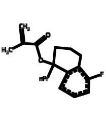 C=C(C)C(=O)OC1(CCC)CCCc2c(F)cccc21